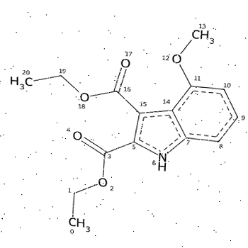 CCOC(=O)c1[nH]c2cccc(OC)c2c1C(=O)OCC